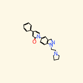 O=c1cc(-c2ccccc2)ccn1-c1ccc2c(cnn2CCN2CCCC2)c1